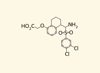 NC(C1CCCc2c(OCC(=O)O)cccc21)S(=O)(=O)c1ccc(Cl)c(Cl)c1